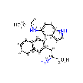 C[C@H](Nc1ccc2[nH]ccc2c1)C(=O)O.N[C@@H](Cc1ccc2ccccc2c1)C(=O)O